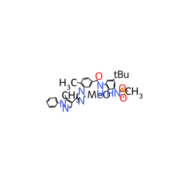 COc1c(NC(=O)c2ccc(C)c(-n3cnc(-c4cnn(-c5ccccc5)c4C)c3)c2)cc(C(C)(C)C)cc1NS(C)(=O)=O